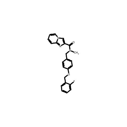 CN(Cc1ccc(OCc2ccccc2F)cc1)C(=O)c1cn2ccccc2n1